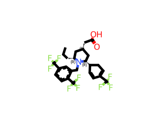 CCC[C@@H]1C[C@H](CC(=O)O)C[C@H](C2C=CC(C(F)(F)F)=CC2)N1Cc1cc(C(F)(F)F)ccc1C(F)(F)F